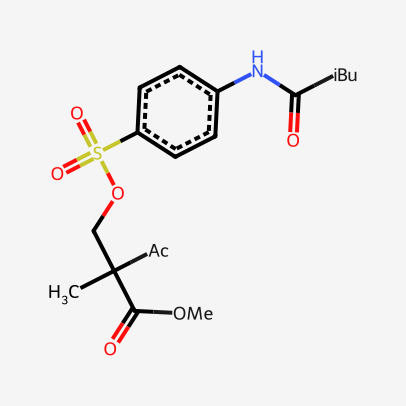 CCC(C)C(=O)Nc1ccc(S(=O)(=O)OCC(C)(C(C)=O)C(=O)OC)cc1